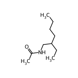 CCCCC(CC)CNC(C)=O